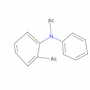 CC(=O)c1ccccc1N(C(C)=O)c1ccccc1